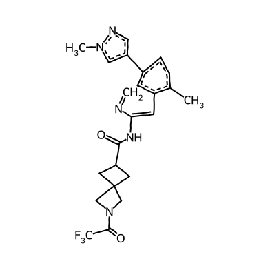 C=N/C(=C\c1cc(-c2cnn(C)c2)ccc1C)NC(=O)C1CC2(C1)CN(C(=O)C(F)(F)F)C2